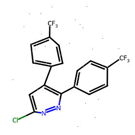 FC(F)(F)c1ccc(-c2cc(Cl)nnc2-c2ccc(C(F)(F)F)cc2)cc1